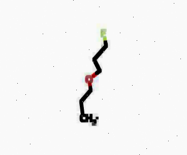 [CH2]CCOCCCF